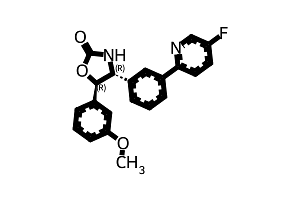 COc1cccc([C@H]2OC(=O)N[C@@H]2c2cccc(-c3ccc(F)cn3)c2)c1